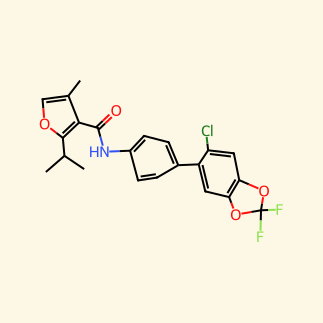 Cc1coc(C(C)C)c1C(=O)Nc1ccc(-c2cc3c(cc2Cl)OC(F)(F)O3)cc1